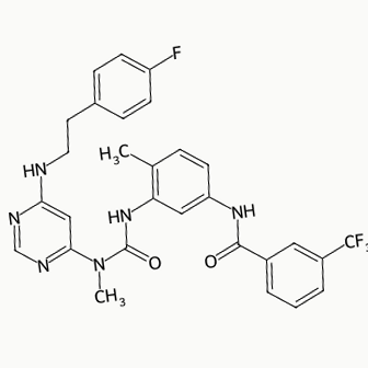 Cc1ccc(NC(=O)c2cccc(C(F)(F)F)c2)cc1NC(=O)N(C)c1cc(NCCc2ccc(F)cc2)ncn1